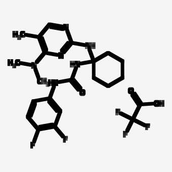 Cc1cnc(NC2(NC(=O)Nc3ccc(F)c(F)c3)CCCCC2)nc1N(C)C.O=C(O)C(F)(F)F